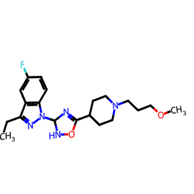 CCc1nn(C2N=C(C3CCN(CCCOC)CC3)ON2)c2ccc(F)cc12